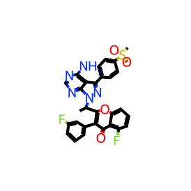 CC(c1oc2cccc(F)c2c(=O)c1-c1cccc(F)c1)n1nc(-c2ccc(S(C)(=O)=O)cc2)c2c(N)ncnc21